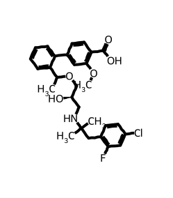 COc1cc(-c2ccccc2C(C)OC[C@H](O)CNC(C)(C)Cc2ccc(Cl)cc2F)ccc1C(=O)O